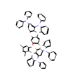 Cc1cc(C)c(B2c3ccccc3N(c3ccccc3)c3cc4c5c(c32)Oc2cc3c(cc2B5c2ccccc2N4c2ccccc2)B2c4ccccc4N(c4ccccc4)c4cc(N(c5ccccc5)c5ccccc5)cc(c42)O3)c(C)c1